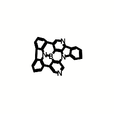 c1cc2c3c(c1)c1cccc4c1n3B1c3c-2cncc3-n2c3ccccc3c3ncc-4c1c32